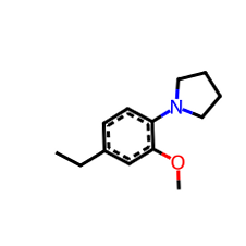 CCc1ccc(N2CCCC2)c(OC)c1